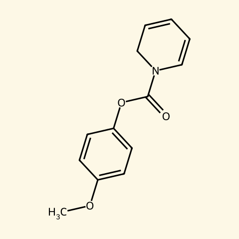 COc1ccc(OC(=O)N2C=CC=CC2)cc1